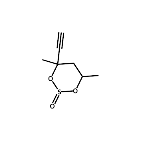 C#CC1(C)CC(C)OS(=O)O1